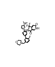 CN(C)C1CCN(c2ccc(-c3cc(CN4CCOCC4)ccc3F)cc2NC(=O)c2c[nH]c(=O)cc2C(F)(F)F)C1